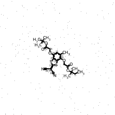 CCC(C)(C)OC(=O)COc1c(C)cc(OCC(=O)OC(C)(C)C)c2c1SC(=C(C#N)C#N)S2